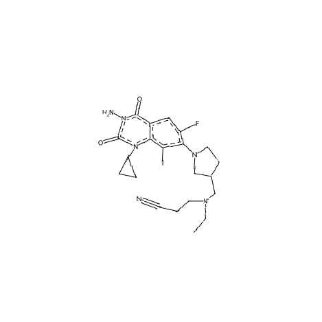 CCN(CCC#N)CC1CCN(c2c(F)cc3c(=O)n(N)c(=O)n(C4CC4)c3c2C)C1